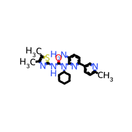 Cc1ccc(-c2ccc(N)c(N(C(=O)Nc3nc(C)c(C)s3)C3CCCCC3)n2)cn1